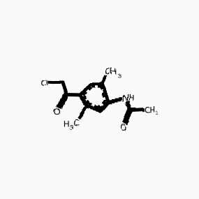 CC(=O)Nc1cc(C)c(C(=O)CCl)cc1C